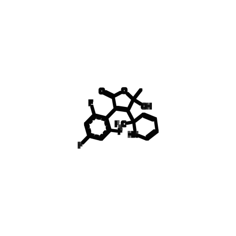 CC1(O)OC(=O)C(c2c(F)cc(F)cc2F)=C1C1(C(F)(F)F)C=CC=CN1